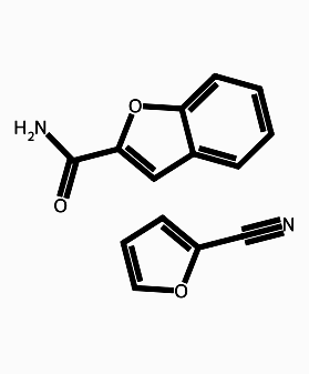 N#Cc1ccco1.NC(=O)c1cc2ccccc2o1